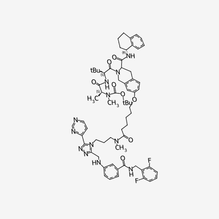 C[C@@H](C(=O)N[C@H](C(=O)N1Cc2cc(OCCCCCC(=O)N(C)CCCn3c(CNc4cccc(C(=O)NCc5c(F)cccc5F)c4)nnc3-c3ccncn3)ccc2CC1C(=O)N[C@@H]1CCCc2ccccc21)C(C)(C)C)N(C)C(=O)OC(C)(C)C